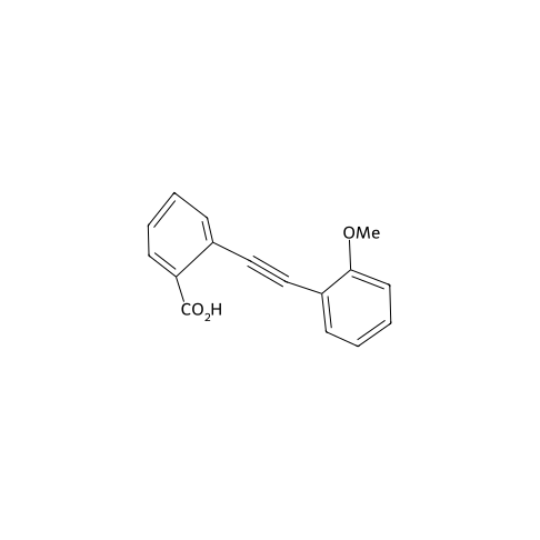 COc1ccccc1C#Cc1ccccc1C(=O)O